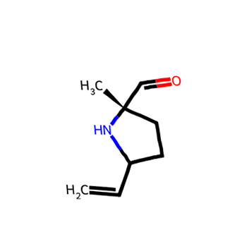 C=CC1CC[C@@](C)(C=O)N1